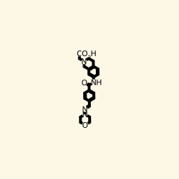 O=C(O)CN1CCc2ccc(NC(=O)c3ccc(C=NN4CCOCC4)cc3)cc2C1